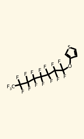 FC(F)(F)C(F)(F)C(F)(F)C(F)(F)C(F)(F)C(F)(F)C(F)(F)C(F)(F)Oc1ccsc1